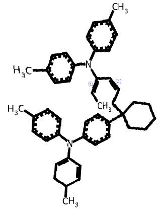 C/C=C(\C=C/CC1(c2ccc(N(C3=CCC(C)C=C3)c3ccc(C)cc3)cc2)CCCCC1)N(c1ccc(C)cc1)c1ccc(C)cc1